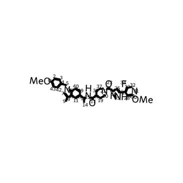 COc1ccc(Cn2cc(C)c3cc(C(C)NC(=O)C4CCN(C(=O)c5cc(-c6cc(OC)ncc6F)[nH]n5)CC4)ccc32)cc1